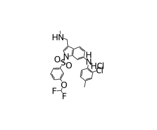 CNCc1cn(S(=O)(=O)c2cccc(OC(F)F)c2)c2cc(Nc3ccc(C)cc3Cl)ccc12.Cl